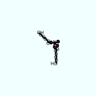 O=C(OCCOCCOCCOCCO)c1ccc(CC2C(c3ccc(C(=O)OCCOCCOCCOCCO)cc3)=NC(c3ccccc3)=C2c2ccccc2)cc1